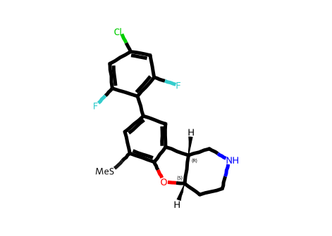 CSc1cc(-c2c(F)cc(Cl)cc2F)cc2c1O[C@H]1CCNC[C@@H]21